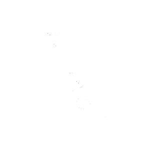 O=C1NC(=S)CN1CCCO[C@@H]1CCN(S(=O)(=O)c2cccc(OCC3CC3)c2)C1